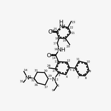 CCN(c1cc(-c2ccccc2)cc(C(=O)NCc2c(C)cc(C)[nH]c2=O)c1C)[C@H]1CC[C@H](N(C)C)CC1